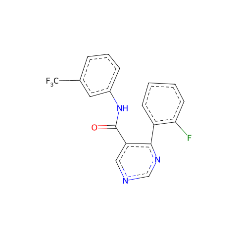 O=C(Nc1cccc(C(F)(F)F)c1)c1cncnc1-c1ccccc1F